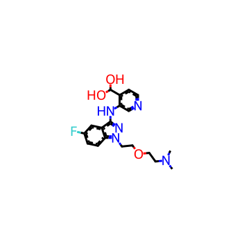 CN(C)CCOCCn1nc(Nc2cnccc2C(O)O)c2cc(F)ccc21